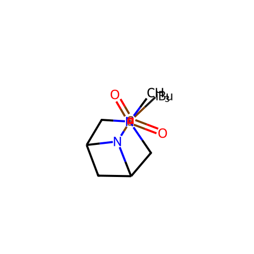 CCC(C)S(=O)(=O)N1C2CC1CN(C)C2